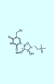 C=P(C)(C)CC[C@H]1O[C@@H](n2cc(CC(C)=O)c(=O)[nH]c2=O)[C@H](OC)[C@@H]1O